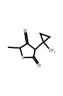 CC1SC(=O)C(C2(C(F)(F)F)CC2)C1=O